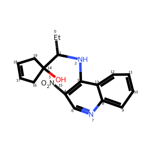 CCC(Nc1c([N+](=O)[O-])cnc2ccccc12)C1(O)CC=CC1